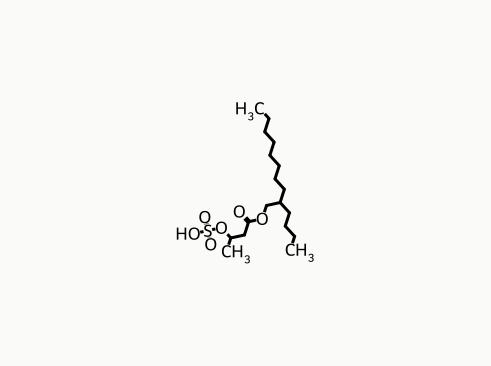 CCCCCCCCC(CCCC)COC(=O)CC(C)OS(=O)(=O)O